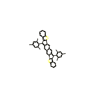 Cc1cc(C)c(C2=c3cc4cc5c(cc4cc3-c3sc4ccccc4c32)=C(c2c(C)cc(C)cc2C)c2c-5sc3ccccc23)c(C)c1